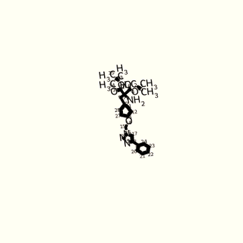 CC(C)(C)OC(=O)C(N)(Cc1ccc(OCn2cc(-c3ccccc3)nn2)cc1)C(=O)OC(C)(C)C